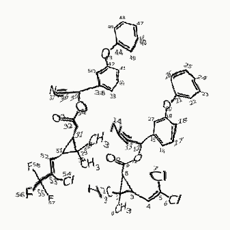 CC1(C)C(C=C(Cl)Cl)C1C(=O)OC(C#N)c1cccc(Oc2ccccc2)c1.CC1(C)[C@H](C(=O)OC(C#N)c2cccc(Oc3ccccc3)c2)[C@@H]1/C=C(\Cl)C(F)(F)F